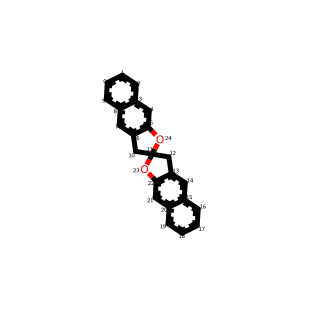 c1ccc2cc3c(cc2c1)CC1(Cc2cc4ccccc4cc2O1)O3